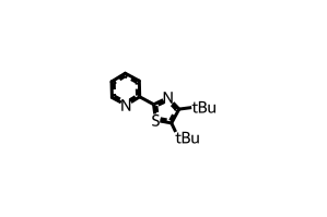 CC(C)(C)c1nc(-c2ccccn2)sc1C(C)(C)C